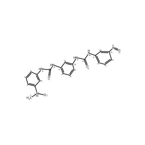 C[NH+]([O-])c1cccc(NC(=O)Nc2cccc(NC(=O)Nc3cccc(N=O)c3)c2)c1